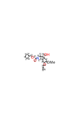 COc1ccc(C2CN(C(=O)COCc3ccccc3)CC2(C)C(C)CO)cc1OCC1CC1